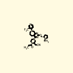 C=CC(=O)N1CCN(c2nc(OC[C@@H]3CCCN3C)nc3c2CCCN(c2ccncc2C(F)(F)F)C3)CC1CC#N